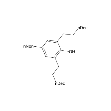 CCCCCCCCCCCCc1cc(CCCCCCCCC)cc(CCCCCCCCCCCC)c1O